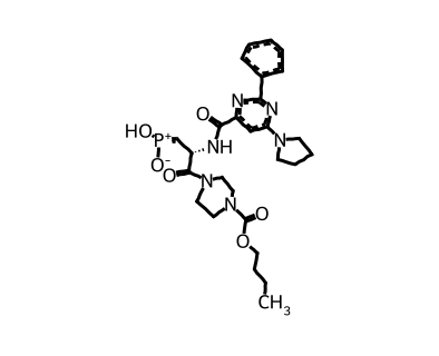 CCCCOC(=O)N1CCN(C(=O)[C@H](/C=[P+](\[O-])O)NC(=O)c2cc(N3CCCC3)nc(-c3ccccc3)n2)CC1